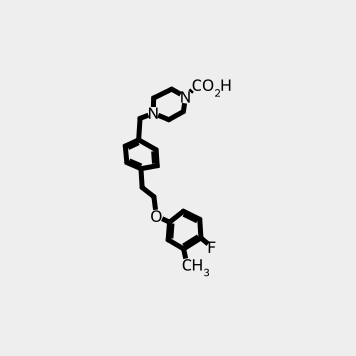 Cc1cc(OCCc2ccc(CN3CCN(C(=O)O)CC3)cc2)ccc1F